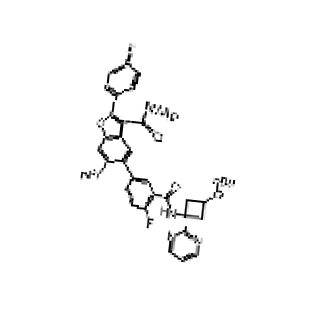 CCCCOC1CC(NC(=O)c2cc(-c3cc4c(C(=O)NC)c(-c5ccc(F)cc5)oc4cc3CCC)ccc2F)(c2ncccn2)C1